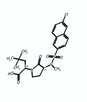 CN([C@H]1CCN([C@H](CC(C)(C)C)C(=O)O)C1=O)S(=O)(=O)c1ccc2cc(Cl)ccc2c1